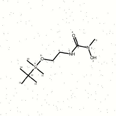 CN(O)C(=O)NCCO[Si](C)(C)C(C)(C)C